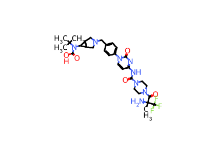 CC(C)(C)N(C(=O)O)C1C2CN(Cc3ccc(-n4ccc(NC(=O)N5CCN(C(=O)C(C)(N)C(F)(F)F)CC5)nc4=O)cc3)CC21